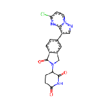 O=C1CCC(N2Cc3cc(-c4cnn5ccc(Cl)nc45)ccc3C2=O)C(=O)N1